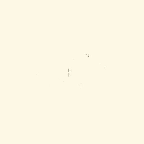 Cc1ncc(Cl)cc1C(=O)NCC1CCCCC1